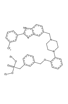 CCOP(=O)(Cc1cccc(COc2ccccc2N2CCN(Cc3ccc4[nH]c(-c5cccc(C(F)(F)F)c5)nc4c3)CC2)c1)OCC